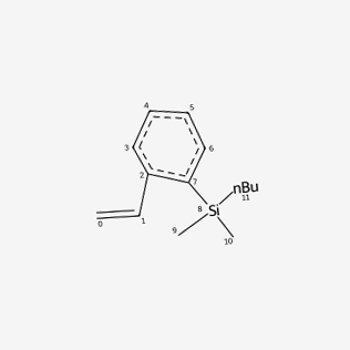 C=Cc1ccccc1[Si](C)(C)CCCC